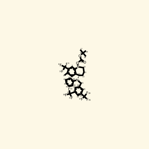 Cc1cc2c(cc1C(F)(F)F)N(OC(=O)OC(C)(C)C)CCC[C@@H]2N(Cc1cc(C(F)(F)F)cc(C(F)(F)F)c1)c1ccccc1